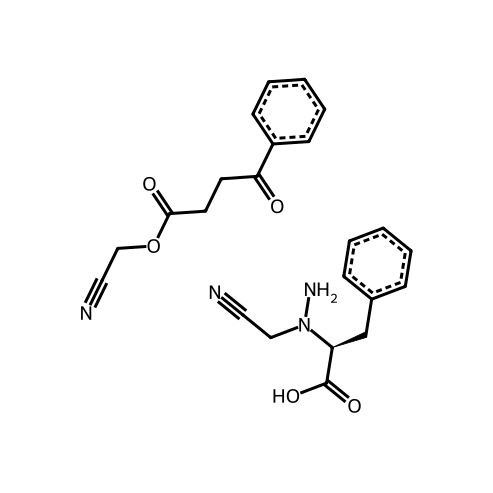 N#CCN(N)[C@@H](Cc1ccccc1)C(=O)O.N#CCOC(=O)CCC(=O)c1ccccc1